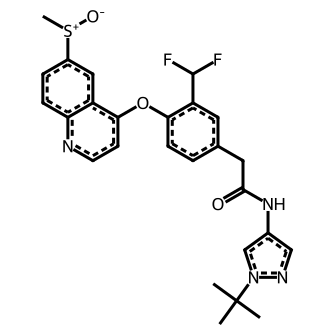 C[S+]([O-])c1ccc2nccc(Oc3ccc(CC(=O)Nc4cnn(C(C)(C)C)c4)cc3C(F)F)c2c1